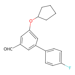 O=Cc1cc(OC2CCCC2)cc(-c2ccc(F)cc2)c1